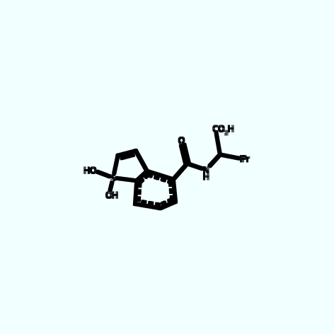 CC(C)C(NC(=O)c1cccc2c1C=CS2(O)O)C(=O)O